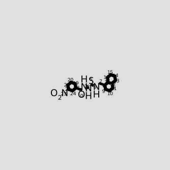 O=C(NNC(=S)NCc1cccc2ccccc12)c1cccc([N+](=O)[O-])c1